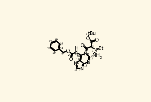 CCN(N)C(C(=O)OC(C)(C)C)C(=O)n1cnc2ncnc-2c1NC(=O)OCc1ccccc1